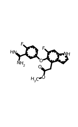 COC(=O)Cc1c(Oc2ccc(F)c(C(=N)N)c2)c(F)cc2[nH]ccc12